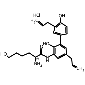 C=CCc1cc(NC(=O)[C@@H](N)CCCCO)c(O)c(-c2ccc(O)c(CC=C)c2)c1.Cl